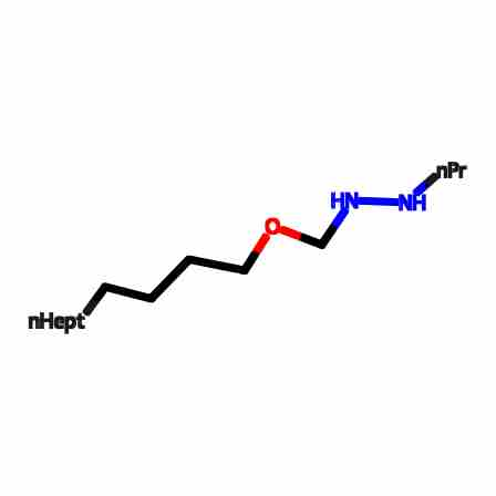 CCCCCCCCCCCOCNNCCC